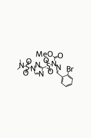 COC(=O)N(/N=C/c1ccccc1Br)S(=O)(=O)c1ncn(S(=O)(=O)N(C)C)n1